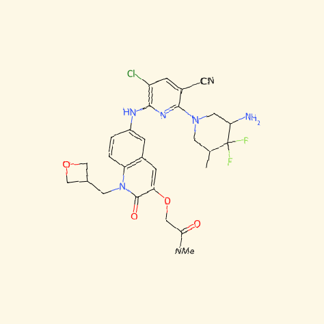 CNC(=O)COc1cc2cc(Nc3nc(N4CC(C)C(F)(F)C(N)C4)c(C#N)cc3Cl)ccc2n(CC2COC2)c1=O